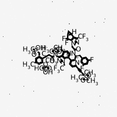 Cc1cc(CP(C)(=O)O)c(C(C)(C)CC(=O)N(c2nn(CC(F)(F)F)c3c(-c4ccc(C#CC(C)(C)S(C)(=O)=O)nc4[C@H](Cc4cc(F)cc(F)c4)NC(=O)Cn4nc(C(F)(F)F)c5c4C(F)(F)C4C[C@H]54)ccc(Cl)c23)S(C)(=O)=O)c(OP(=O)(O)O)c1